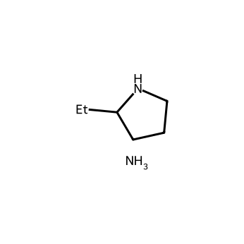 CCC1CCCN1.N